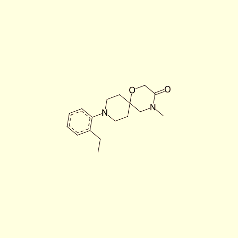 CCc1ccccc1N1CCC2(CC1)CN(C)C(=O)CO2